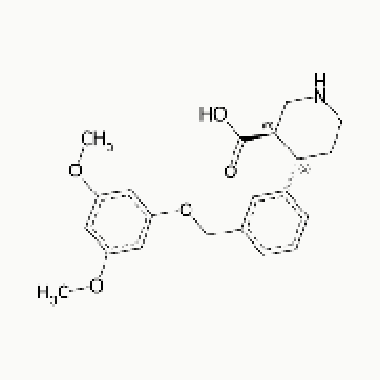 COc1cc(OC)cc(OCc2cccc([C@H]3CCNC[C@@H]3C(=O)O)c2)c1